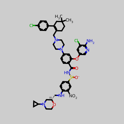 CC1(C)CCC(CN2CCN(c3ccc(C(=O)N[S+]([O-])c4ccc(NC[C@H]5CN(C6CC6)CCO5)c([N+](=O)[O-])c4)c(Oc4cnc(N)c(Cl)c4)c3)CC2)=C(c2ccc(Cl)cc2)C1